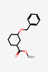 CCCCCCCCOC(=O)C1CCCC(OCc2ccccc2)C1